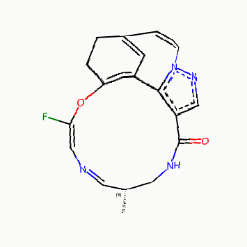 C[C@@H]1C=NC=C(F)OC2=C3C=C(C=Cn4ncc(c43)C(=O)NC1)CC2